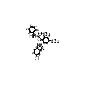 CC(C)(C)c1cc(-n2nc3ccc(Cl)cc3n2)c(OC(=O)Nc2ccccc2)c(C(C)(C)C)c1